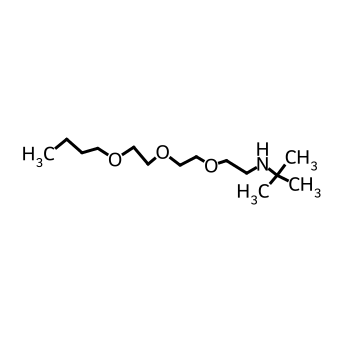 CCCCOCCOCCOCCNC(C)(C)C